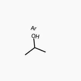 CC(C)O.[Ar]